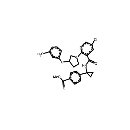 COC(=O)c1ccc(C2(NC(=O)c3cc(Cl)cnc3N3CCC(Oc4cccc(C)c4)C3)CC2)cc1